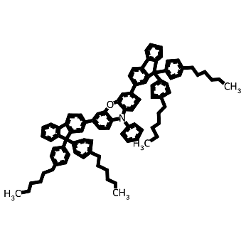 CCCCCCc1ccc(C2(c3ccc(CCCCCC)cc3)c3ccccc3-c3ccc(-c4ccc5c(c4)Oc4cc(-c6ccc7c(c6)C(c6ccc(CCCCCC)cc6)(c6ccc(CCCCCC)cc6)c6ccccc6-7)ccc4N5c4ccccc4)cc32)cc1